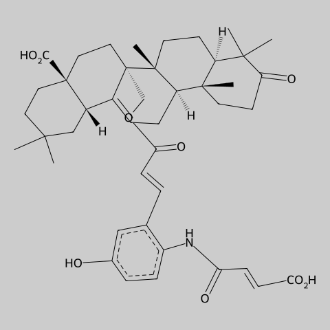 CC1(C)CC[C@]2(C(=O)O)CC[C@]3(COC(=O)/C=C/c4cc(O)ccc4NC(=O)/C=C/C(=O)O)C(=CC[C@@H]4[C@@]5(C)CCC(=O)C(C)(C)[C@@H]5CC[C@]43C)[C@@H]2C1